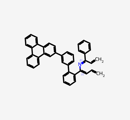 C=C/C=C(\N=C(/C=C)c1ccccc1)c1ccccc1-c1cccc(-c2ccc3c4ccccc4c4ccccc4c3c2)c1